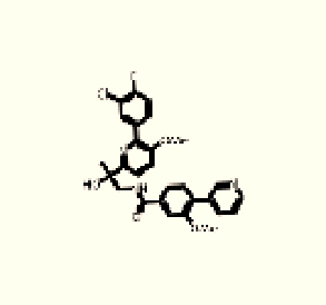 COc1cc(C(=O)NCC(C)(O)c2ccc(OC)c(-c3ccc(F)c(Cl)c3)n2)ccc1-c1cccnc1